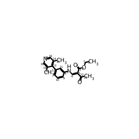 CCOC(=O)/C(=C\Nc1cccc(-c2c(C)cncc2C)c1)C(C)=O